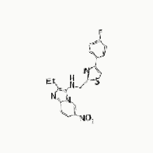 CCc1nc2ccc([N+](=O)[O-])cn2c1NCc1nc(-c2ccc(F)cc2)cs1